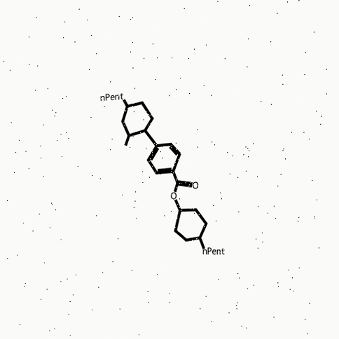 CCCCCC1CCC(OC(=O)c2ccc(C3CCC(CCCCC)CC3C)cc2)CC1